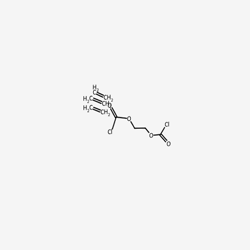 C=C.C=C.C=C.O=C(Cl)OCCOC(=O)Cl